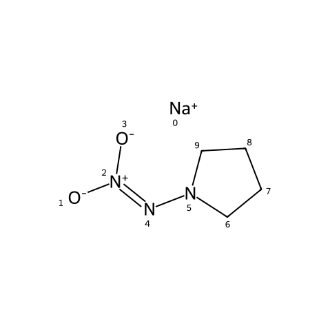 [Na+].[O-][N+]([O-])=NN1CCCC1